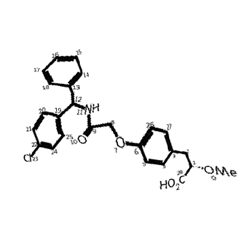 CO[C@@H](Cc1ccc(OCC(=O)NC(c2ccccc2)c2ccc(Cl)cc2)cc1)C(=O)O